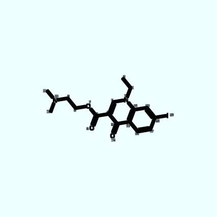 CCn1cc(C(=O)OCCN(C)C)c(=O)c2ccc(I)cc21